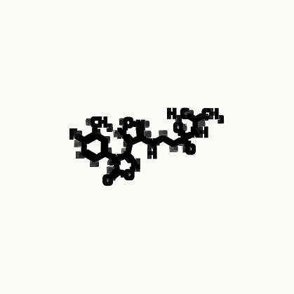 Cc1cc(-n2c(-c3nonc3NCCS(=O)(=O)NC(C)C)noc2=O)ccc1F